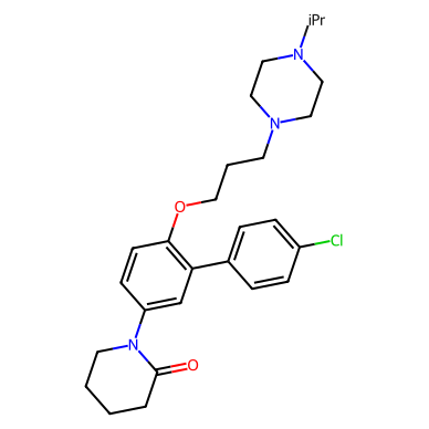 CC(C)N1CCN(CCCOc2ccc(N3CCCCC3=O)cc2-c2ccc(Cl)cc2)CC1